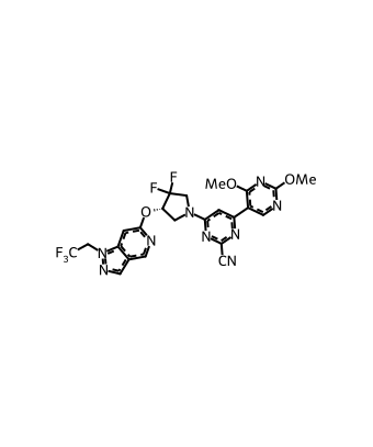 COc1ncc(-c2cc(N3C[C@H](Oc4cc5c(cn4)cnn5CC(F)(F)F)C(F)(F)C3)nc(C#N)n2)c(OC)n1